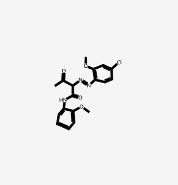 COc1cc(Cl)ccc1N=NC(C(C)=O)C(=O)Nc1ccccc1OC